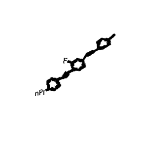 CCCc1ccc(C#Cc2ccc(C#Cc3ccc(C)cc3)cc2F)cc1